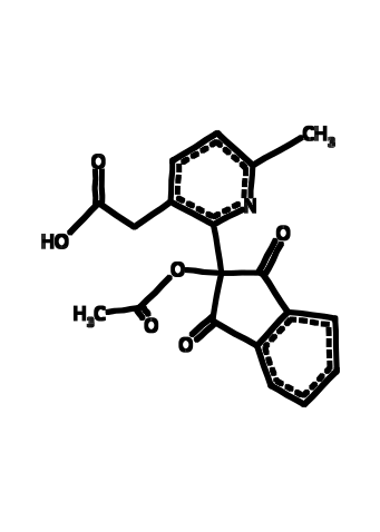 CC(=O)OC1(c2nc(C)ccc2CC(=O)O)C(=O)c2ccccc2C1=O